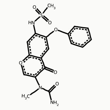 CN(C(N)=O)c1coc2cc(NS(C)(=O)=O)c(Oc3ccccc3)cc2c1=O